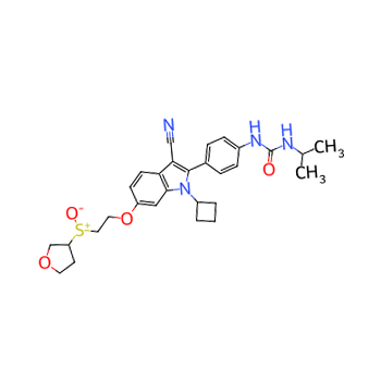 CC(C)NC(=O)Nc1ccc(-c2c(C#N)c3ccc(OCC[S+]([O-])C4CCOC4)cc3n2C2CCC2)cc1